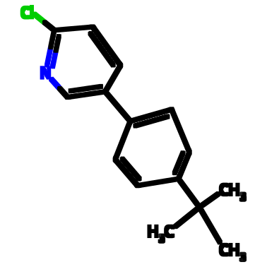 CC(C)(C)c1ccc(-c2ccc(Cl)nc2)cc1